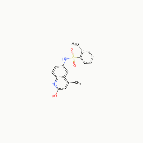 COc1ccccc1S(=O)(=O)Nc1ccc2nc(O)cc(C)c2c1